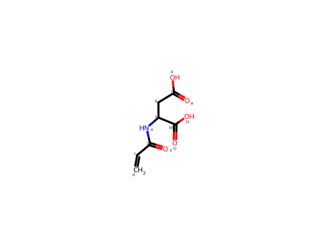 C=CC(=O)NC(CC(=O)O)C(=O)O